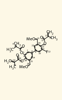 C=C(C)C(=O)Oc1cc(-c2cc(F)c(OC(=O)C(=C)C)c(COC)c2)cc(COC)c1OC(=O)C(=C)C